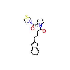 O=C([C@@H]1CCCN1C(=O)CCCC1=Cc2ccccc2C1)N1CCSC1